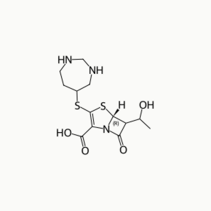 CC(O)C1C(=O)N2C(C(=O)O)=C(SC3CCNCNC3)S[C@H]12